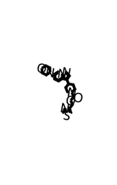 O=C(OCc1cscn1)N1CCC(c2cnn3cc(N4CCOCC4)ccc23)CC1